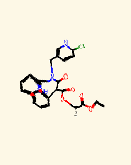 CCOC(=O)[C@H](C)OC(=O)C(C(=O)N(CC1=CNC(Cl)C=C1)C1C=CC=CN1)c1ccccc1